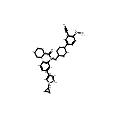 COc1ccc(C2CCC(CN(C(=O)C3CCCCC3)c3cccc(-c4cnn(C5CC5)c4)c3)CC2)cc1C#N